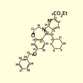 CCOC(=O)c1ccc2c(C3CCCCC3)c3n(c2n1)CCOc1cc(OCc2ccccc2)ccc1-3